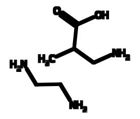 CC(CN)C(=O)O.NCCN